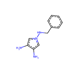 Nc1cn(NCc2ccccc2)cc1N